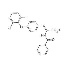 O=C(O)C(=Cc1ccc(Oc2c(F)cccc2Cl)cc1)NC(=O)c1ccccc1